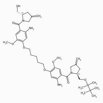 C=C1C[C@@H](CO)N(C(=O)c2cc(OC)c(OCCCCCOc3cc(N)c(C(=O)N4CC(=C)C[C@H]4CO[Si](C)(C)C(C)(C)C)cc3OC)cc2N)C1